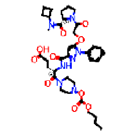 CCCCOC(=O)ON1CCN(C(=O)[C@H](CCC(=O)O)NC(=O)c2cc(OCC(=O)N3CCC[C@H]3C(=O)N(C)C3CCC3)n(-c3ccccc3)n2)CC1